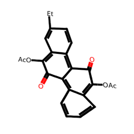 CCc1ccc2c(c1)=C(OC(C)=O)C(=O)C1=c3ccccc3=C(OC(C)=O)C(=O)C=21